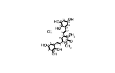 Cn1c(C=Cc2cc(O)cc(O)c2O)cc(C=Cc2cc(O)cc(O)c2O)[n+](C)c1=O.[Cl-]